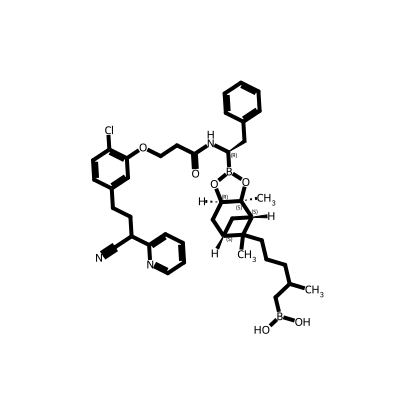 CC(CCCC1(C)[C@@H]2C[C@H]3OB([C@H](Cc4ccccc4)NC(=O)CCOc4cc(CCC(C#N)c5ccccn5)ccc4Cl)O[C@@]3(C)[C@H]1C2)CB(O)O